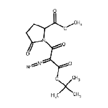 COC(=O)C1CCC(=O)N1C(=O)C(=[N+]=[N-])C(=O)OC(C)(C)C